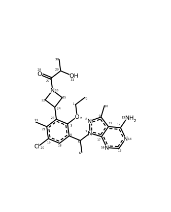 CCOc1c(C(C)n2nc(C)c3c(N)ncnc32)cc(Cl)c(C)c1C1CN(C(=O)C(C)O)C1